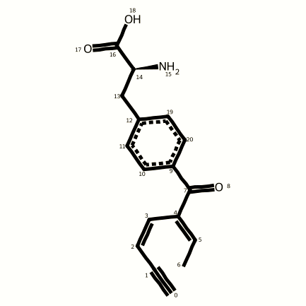 C#C/C=C\C(=C/C)C(=O)c1ccc(C[C@H](N)C(=O)O)cc1